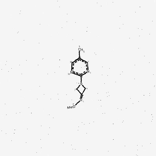 CON=C1CN(c2ncc(C)cn2)C1